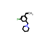 C=CC1=CC(CN2CCCCC2)CC(F)=C1